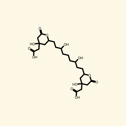 O=C(O)CC1(O)CC(=O)OC(CCC(O)CCCC(O)CCC2CC(O)(CC(=O)O)CC(=O)O2)C1